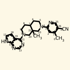 Cc1cc(N2CCC3CCN(c4ncnc5[nH]ccc45)CC3(C)C2)ncc1C#N